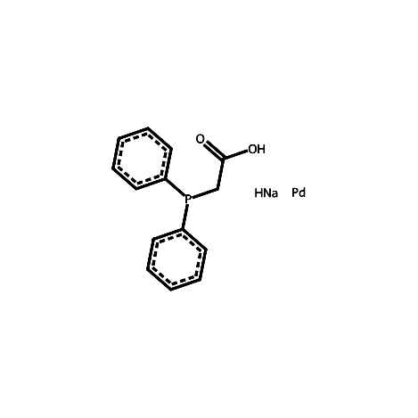 O=C(O)CP(c1ccccc1)c1ccccc1.[NaH].[Pd]